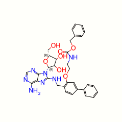 Nc1ncnc2c1nc(NCc1ccc(-c3ccccc3)cc1OCCNC(=O)OCc1ccccc1)n2[C@@H]1O[C@H](CO)C(O)C1O